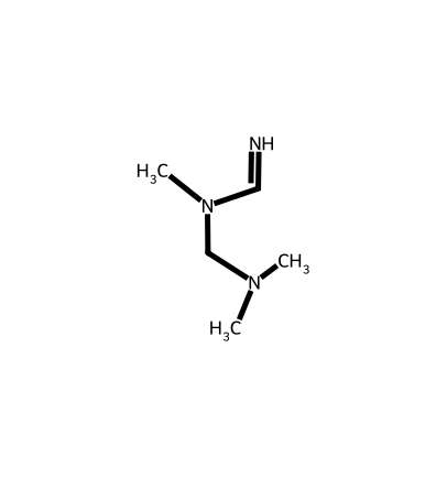 CN(C)CN(C)C=N